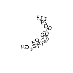 O=C(OCC(F)(F)C(F)(F)F)C1COC2(O1)C1CC3CC2CC(OC(=O)C(F)(F)S(=O)(=O)O)(C3)C1